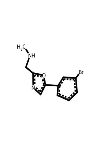 CNCc1ncc(-c2cccc(Br)c2)o1